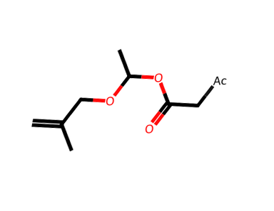 C=C(C)COC(C)OC(=O)CC(C)=O